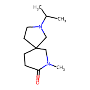 CC(C)N1CCC2(CCC(=O)N(C)C2)C1